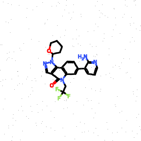 Nc1ncccc1-c1ccc2c3c(cnn3C3CCCCO3)c(=O)n(CC(F)(F)F)c2c1